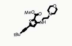 COC(=O)c1sc(C#CC(C)(C)C)cc1NCCN1CCOCC1